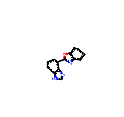 [c]1nc2c(-c3nc4ccccc4o3)cccc2[nH]1